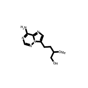 COC(CO)CCc1cnc2c(N)ncnn12